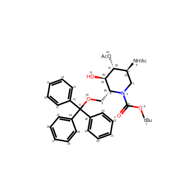 CC(=O)N[C@H]1CN(C(=O)OC(C)(C)C)[C@H](COC(c2ccccc2)(c2ccccc2)c2ccccc2)[C@@H](O)[C@@H]1OC(C)=O